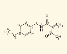 C=C(C(=O)O)C(=O)NCc1ccc(OC)cc1